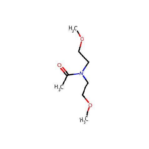 COCCN(CCOC)C(C)=O